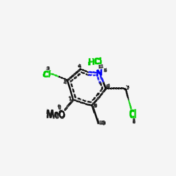 COc1c(Cl)cnc(CCl)c1C.Cl